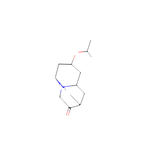 CC(C)OC1CC2CC3CC(C1)N2CC3=O